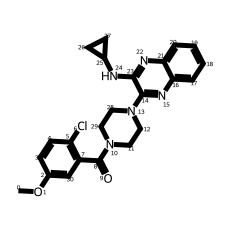 COc1ccc(Cl)c(C(=O)N2CCN(c3nc4ccccc4nc3NC3CC3)CC2)c1